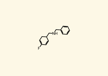 FC1=CCC(CNCc2ccccc2)C=C1